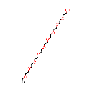 CCC(C)COCCOCCOCCOCCOCCOCCOCCOCCOCCO